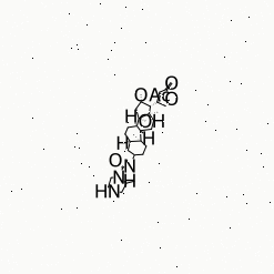 CC(=O)O[C@H]1C[C@]2(O)[C@@H]3CC[C@@H]4CC(NC(=O)N5CCNCC5C)CC[C@]4(C)[C@H]3CC[C@]2(C)[C@H]1C1=CC(=O)OC1